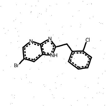 Clc1ccccc1Cc1nc2ncc(Br)cc2[nH]1